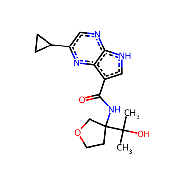 CC(C)(O)C1(NC(=O)c2c[nH]c3ncc(C4CC4)nc23)CCOC1